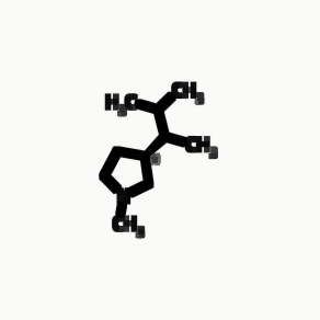 CC(C)C(C)[C@@H]1CCN(C)C1